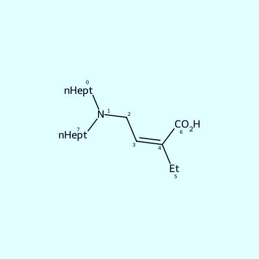 CCCCCCCN(CC=C(CC)C(=O)O)CCCCCCC